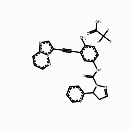 Cc1ccc(NC(=O)N2N=CCC2c2ccccn2)cc1C#Cc1cnc2cccnn12.O=C(O)C(F)(F)F